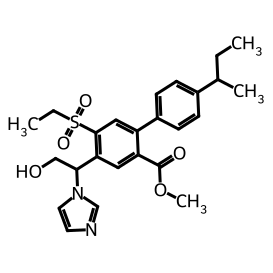 CCC(C)c1ccc(-c2cc(S(=O)(=O)CC)c(C(CO)n3ccnc3)cc2C(=O)OC)cc1